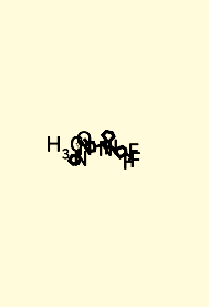 C[C@@H](c1ccccn1)n1ccc(-c2nn(-c3ccc(C(F)(F)F)cc3)c3ccccc23)cc1=O